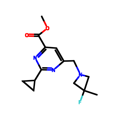 COC(=O)c1cc(CN2CC(C)(F)C2)nc(C2CC2)n1